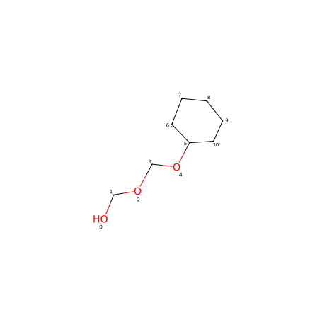 OCOCOC1[CH]CCCC1